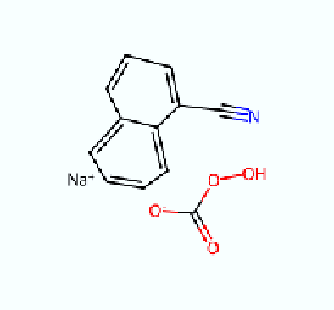 N#Cc1cccc2ccccc12.O=C([O-])OO.[Na+]